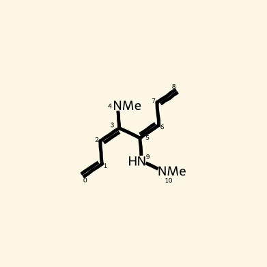 C=C/C=C(NC)\C(=C/C=C)NNC